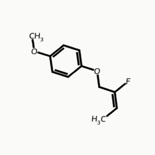 C/C=C(/F)COc1ccc(OC)cc1